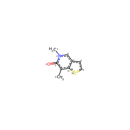 Cc1c(=O)n(C)cc2ccsc12